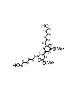 COC(=O)C/C(CCCCCCCCO)=C(/CCCCCCCCO)CC(=O)OC